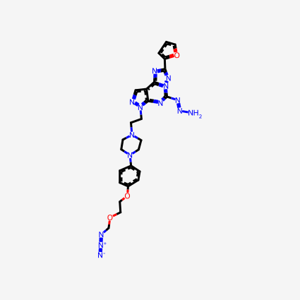 [N-]=[N+]=NCOCCOc1ccc(N2CCN(CCn3ncc4c3nc(N=NN)n3nc(-c5ccco5)nc43)CC2)cc1